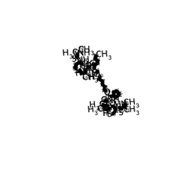 C=C(/C=C\C=C/C)[C@@H](COCCCCCCOC[C@@H](NC(=O)[C@H]1N2C(=O)[C@@H](NC(=S)[C@H](C)NC)CCS[C@H]2CC1(C)C)c1ccccc1)NC(=O)[C@H]1N2C(=O)[C@@H](NC(=S)[C@H](C)NC)CCS[C@H]2CC1(C)C